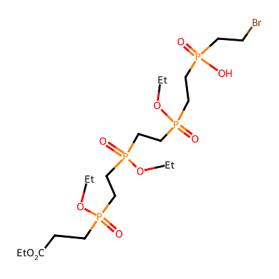 CCOC(=O)CCP(=O)(CCP(=O)(CCP(=O)(CCP(=O)(O)CCBr)OCC)OCC)OCC